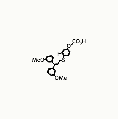 COc1cccc(C(=CCSc2ccc(OCC(=O)O)cc2I)c2cccc(OC)c2)c1